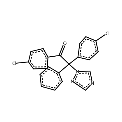 O=C(c1ccc(Cl)cc1)C(c1ccccc1)(c1ccc(Cl)cc1)n1cncn1